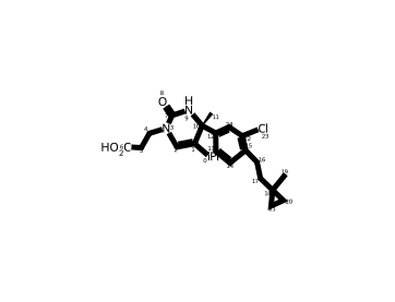 CC(C)C1=CN(CCC(=O)O)C(=O)N[C@]1(C)c1ccc(CCC2(C)CC2)c(Cl)c1